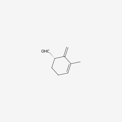 C=C1C(C)=CCC[C@@H]1C=O